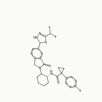 O=C1c2cc(C3NN=C(C(F)F)O3)ccc2CN1C1CCCC[C@H]1NC(=O)C1(c2ccc(F)cc2)CC1